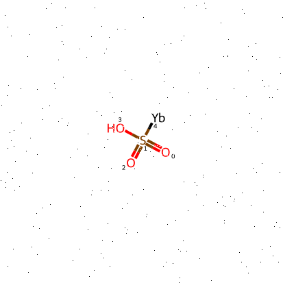 O=[S](=O)(O)[Yb]